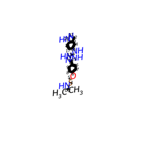 CC(C)NSCOc1ccc(C2=NNC(Nc3ccc4[nH]ncc4c3)N2)cc1